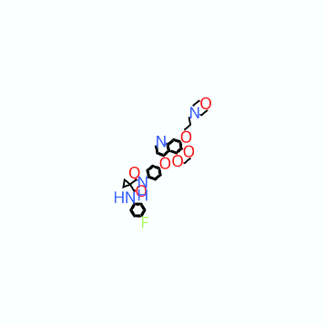 O=C(Nc1ccc(F)cc1)C1(C(=O)Nc2ccc(Oc3ccnc4cc(OCCCN5CCOCC5)c5c(c34)OCCO5)cc2)CC1